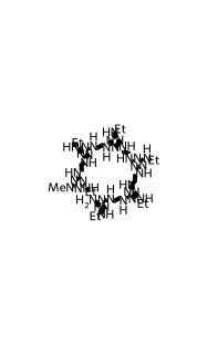 CCNc1nc(N)nc(NCCNc2nc(NCC)nc(NCCNc3nc(NCC)nc(NCCNc4nc(NCC)nc(NCCNc5nc(NCC)nc(NCCNc6nc(NC)nc(NCC)n6)n5)n4)n3)n2)n1